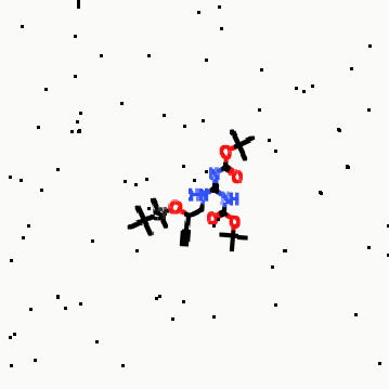 C#CC(CN/C(=N/C(=O)OC(C)(C)C)NC(=O)OC(C)(C)C)O[Si](C)(C)C(C)(C)C